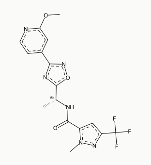 COc1cc(-c2noc([C@@H](C)NC(=O)c3cc(C(F)(F)F)nn3C)n2)ccn1